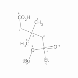 CCP(=O)(CC(C)(C)CC(=O)O)OC(C)(C)C